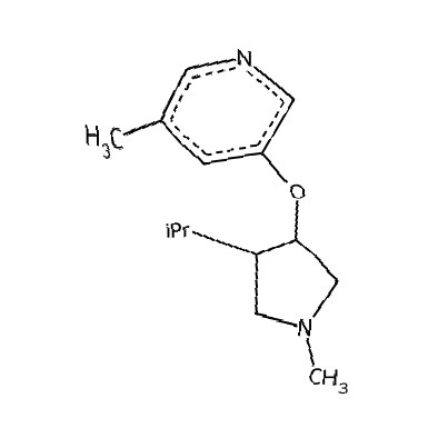 Cc1cncc(OC2CN(C)CC2C(C)C)c1